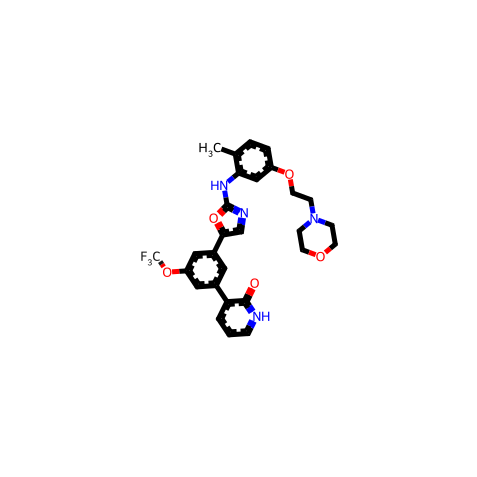 Cc1ccc(OCCN2CCOCC2)cc1Nc1ncc(-c2cc(OC(F)(F)F)cc(-c3ccc[nH]c3=O)c2)o1